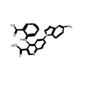 O=C(O)c1ccccc1Nc1c(C(=O)O)cnc2ccc(-n3ccc4cc(O)ccc43)cc12